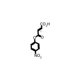 O=C(O)/C=C/C(=O)Oc1ccc([N+](=O)[O-])cc1